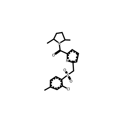 Cc1ccc(S(=O)(=O)Cc2cccc(C(=O)N3C(C)CCC3C)n2)c(Cl)c1